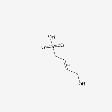 O=S(=O)(O)C/C=C/CO